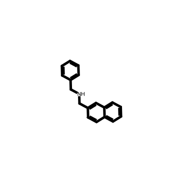 [c]1cc2ccccc2cc1CNCc1ccccc1